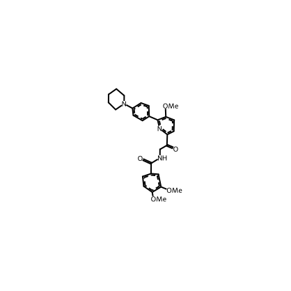 COc1ccc(C(=O)NCC(=O)c2ccc(OC)c(-c3ccc(N4CCCCC4)cc3)n2)cc1OC